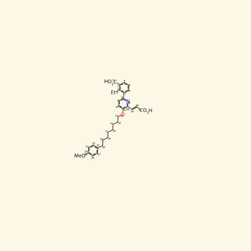 CCc1c(C(=O)O)cccc1-c1ccc(OCCCCCCCCc2ccc(OC)cc2)c(C=CC(=O)O)n1